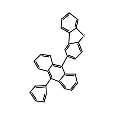 c1ccc(-c2c3ccccc3c(-c3ccc4sc5ccccc5c4c3)c3ccccc23)cc1